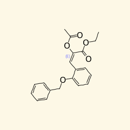 CCOC(=O)/C(=C\c1ccccc1OCc1ccccc1)OC(C)=O